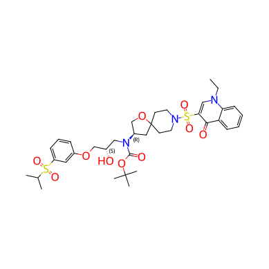 CCn1cc(S(=O)(=O)N2CCC3(CC2)C[C@@H](N(C[C@H](O)COc2cccc(S(=O)(=O)C(C)C)c2)C(=O)OC(C)(C)C)CO3)c(=O)c2ccccc21